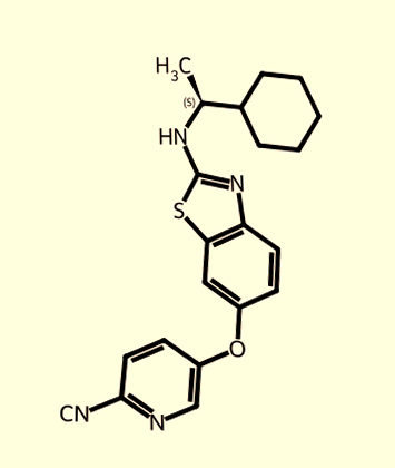 [C-]#[N+]c1ccc(Oc2ccc3nc(N[C@@H](C)C4CCCCC4)sc3c2)cn1